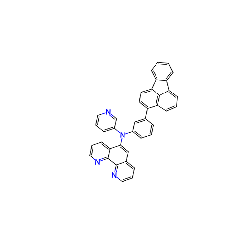 c1cncc(N(c2cccc(-c3ccc4c5c(cccc35)-c3ccccc3-4)c2)c2cc3cccnc3c3ncccc23)c1